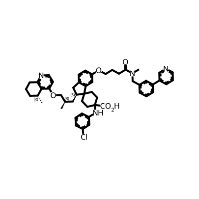 C[C@@H](COc1ccnc2c1[C@H](C)CCC2)C[C@H]1Cc2ccc(OCCCC(=O)N(C)Cc3cccc(-c4cccnc4)c3)cc2C12CCC(Nc1cccc(Cl)c1)(C(=O)O)CC2